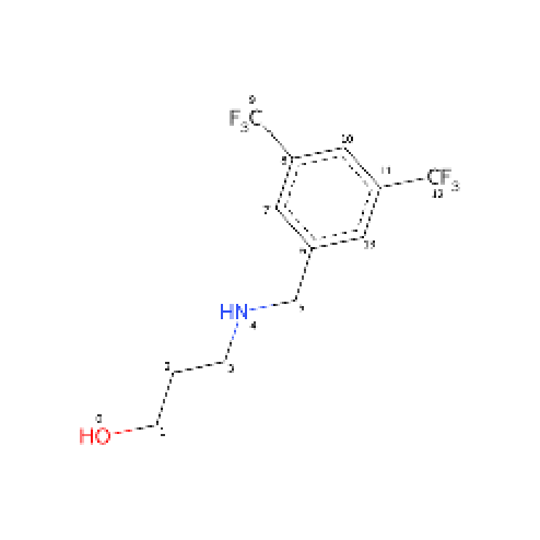 OCCCNCc1cc(C(F)(F)F)cc(C(F)(F)F)c1